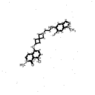 Cn1ccc2c(OC3CC4(C3)CN(CCNc3cc5cnn(C)c5cc3F)C4)ccc(Cl)c2c1=O